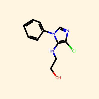 OCCNc1c(Cl)ncn1-c1ccccc1